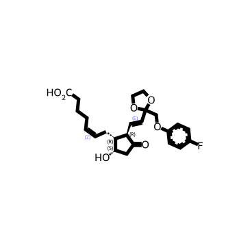 O=C(O)CCC/C=C\C[C@H]1[C@@H](O)CC(=O)[C@@H]1/C=C/C1(COc2ccc(F)cc2)OCCO1